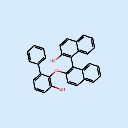 Oc1cccc(-c2ccccc2)c1Oc1ccc2ccccc2c1-c1c(O)ccc2ccccc12